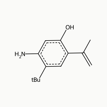 C=C(C)c1cc(C(C)(C)C)c(N)cc1O